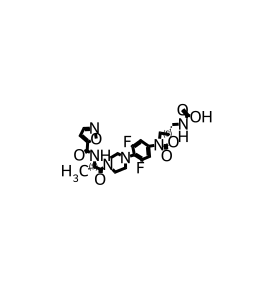 C[C@H](NC(=O)c1ccno1)C(=O)N1CCN(c2c(F)cc(N3C[C@H](CNC(=O)O)OC3=O)cc2F)CC1